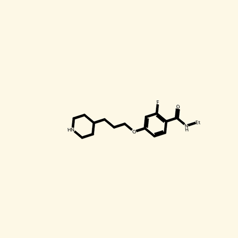 CCNC(=O)c1ccc(OCCCC2CCNCC2)cc1F